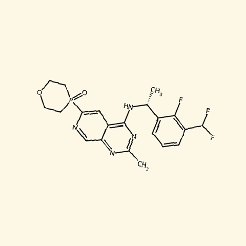 Cc1nc(N[C@H](C)c2cccc(C(F)F)c2F)c2cc(P3(=O)CCOCC3)ncc2n1